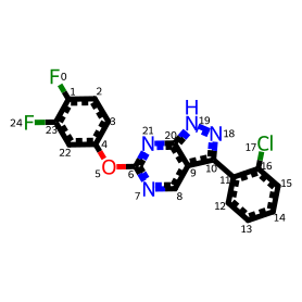 Fc1ccc(Oc2ncc3c(-c4ccccc4Cl)n[nH]c3n2)cc1F